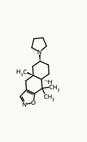 CC1(C)c2oncc2C[C@]2(C)C[C@@H](N3CCCC3)CC[C@@H]12